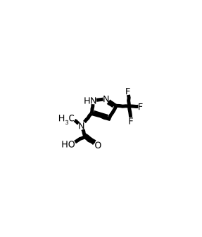 CN(C(=O)O)c1cc(C(F)(F)F)n[nH]1